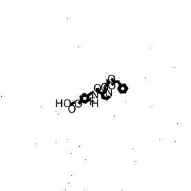 O=C(O)COc1ccc(CNC(=O)c2cccnc2OC2=COC(Cc3ccccc3)O2)c(F)c1